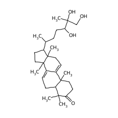 CC(CCC(O)C(C)(O)CO)C1CCC2(C)C3=CCC4C(C)(C)C(=O)CCC4(C)C3=CCC12C